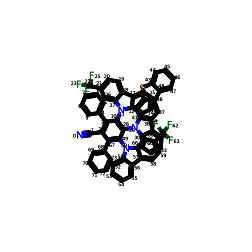 N#Cc1c(-c2ccccc2)c(-n2c3ccccc3c3ccc(C(F)(F)F)cc32)c(-n2c3ccccc3c3cc4c(cc32)sc2ccccc24)c(-n2c3ccccc3c3ccc(C(F)(F)F)cc32)c1-c1ccccc1